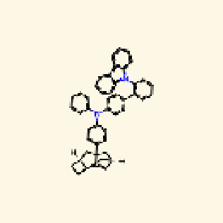 C1=C2C3C4C[C@H]1CC2(c1ccc(N(c2ccccc2)c2ccc(-c5ccccc5-n5c6ccccc6c6ccccc65)cc2)cc1)C[C@@H]3C4